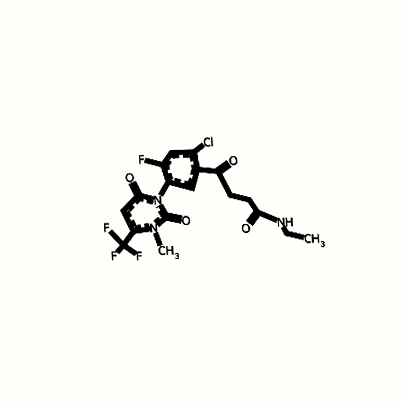 CCNC(=O)CCC(=O)c1cc(-n2c(=O)cc(C(F)(F)F)n(C)c2=O)c(F)cc1Cl